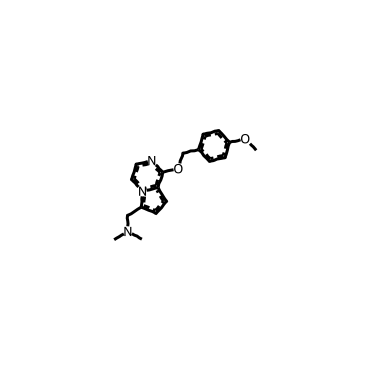 COc1ccc(COc2nccn3c(CN(C)C)ccc23)cc1